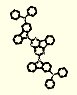 c1ccc(N(c2ccccc2)c2ccc3c(c2)c2ccccc2n3-c2nc3c4c(nc(-n5c6ccccc6c6cc(N(c7ccccc7)c7ccccc7)ccc65)nc4n2)-c2ccccc2-3)cc1